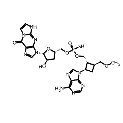 COC[C@H]1C[C@@H](n2cnc3c(N)ncnc32)[C@@H]1COP(=O)(S)OC[C@@H]1C[C@@H](O)[C@H](n2cnc3c(=O)n4cc[nH]c4nc32)O1